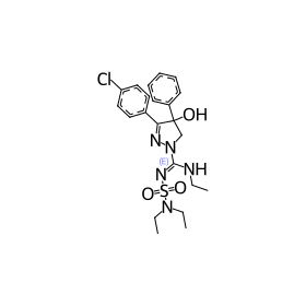 CCN/C(=N\S(=O)(=O)N(CC)CC)N1CC(O)(c2ccccc2)C(c2ccc(Cl)cc2)=N1